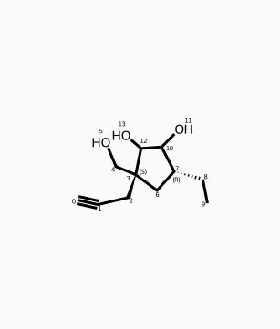 C#CC[C@]1(CO)C[C@@H](CC)C(O)C1O